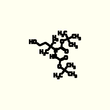 CC(C)(C)OC(=O)NN(C(=O)OC(C)(C)C)C(C)(C)CCO